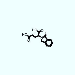 O=C(O)CCC(C(=O)O)N1Cc2ccccc2C1=O